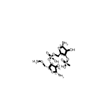 BOC[C@H]1O[C@@H](B)C(O)[C@H]1OP(=O)(O)OC[C@H]1O[C@@H](B)C(O)[C@H]1OP(C)(=O)O